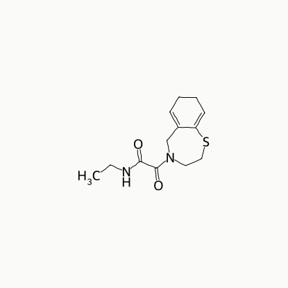 CCNC(=O)C(=O)N1CCSC2=CCCC=C2C1